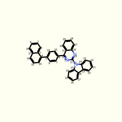 c1ccc2c(-c3ccc(-c4nc(-n5c6ccccc6c6ccccc65)nc5ccccc45)cc3)cccc2c1